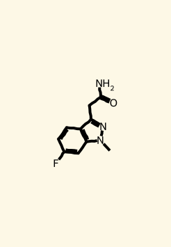 Cn1nc(CC(N)=O)c2ccc(F)cc21